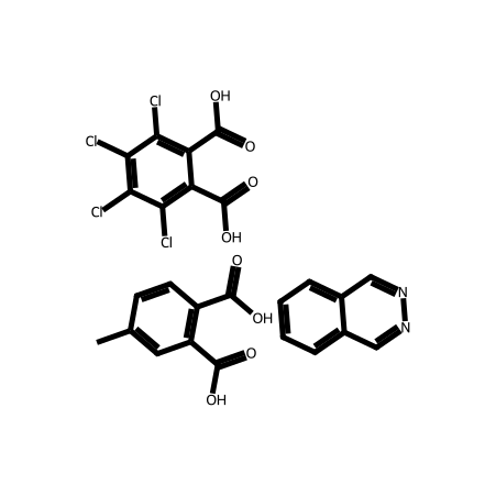 Cc1ccc(C(=O)O)c(C(=O)O)c1.O=C(O)c1c(Cl)c(Cl)c(Cl)c(Cl)c1C(=O)O.c1ccc2cnncc2c1